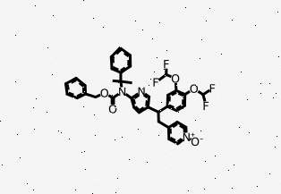 CC(C)(c1ccccc1)N(C(=O)OCc1ccccc1)c1ccc(C(Cc2cc[n+]([O-])cc2)c2ccc(OC(F)F)c(OC(F)F)c2)cn1